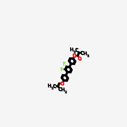 C=C(C)COc1ccc(-c2ccc(-c3ccc(OC(=O)C(=C)C)cc3)c(F)c2F)cc1